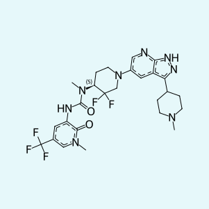 CN1CCC(c2n[nH]c3ncc(N4CC[C@H](N(C)C(=O)Nc5cc(C(F)(F)F)cn(C)c5=O)C(F)(F)C4)cc23)CC1